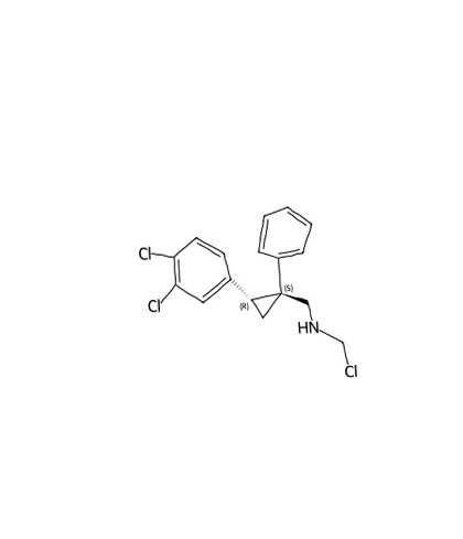 ClCNC[C@@]1(c2ccccc2)C[C@@H]1c1ccc(Cl)c(Cl)c1